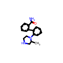 CC1CNCCN1c1ccccc1-c1ccccc1C(N)=O